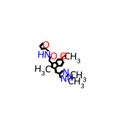 COc1ccc2c(c1)C(CC(=O)NCc1ccco1)=C(C)/C2=C/c1cnc(N(C)C)nc1